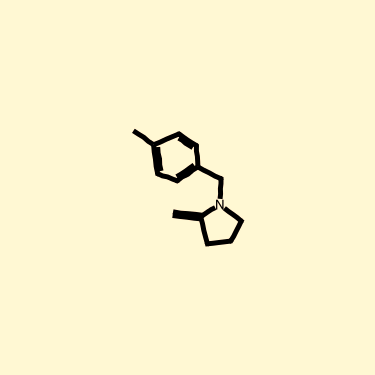 C=C1CCCN1Cc1ccc(C)cc1